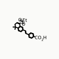 CCS(=O)(=O)C1=CCC(C)(C)c2ccc(/C=C/c3ccc(C(=O)O)cc3)cc21